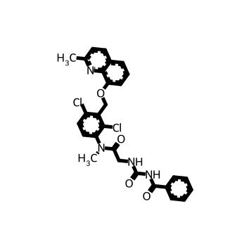 Cc1ccc2cccc(OCc3c(Cl)ccc(N(C)C(=O)CNC(=O)NC(=O)c4ccccc4)c3Cl)c2n1